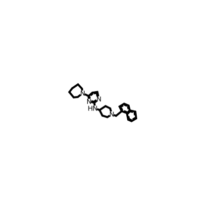 c1ccc2c(CN3CCC(Nc4nccc(N5CCCCCC5)n4)CC3)cccc2c1